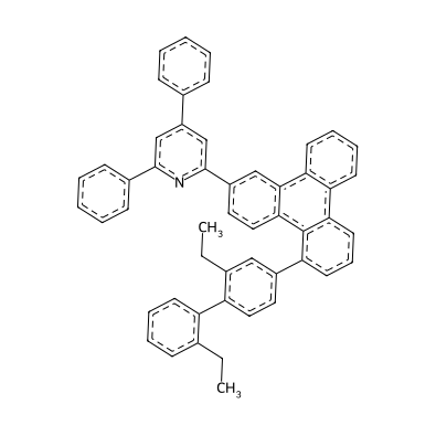 CCc1ccccc1-c1ccc(-c2cccc3c4ccccc4c4cc(-c5cc(-c6ccccc6)cc(-c6ccccc6)n5)ccc4c23)cc1CC